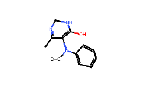 CC1=NCNC(O)=C1N(C=O)c1ccccc1